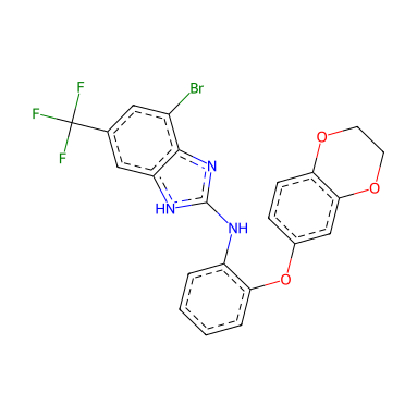 FC(F)(F)c1cc(Br)c2nc(Nc3ccccc3Oc3ccc4c(c3)OCCO4)[nH]c2c1